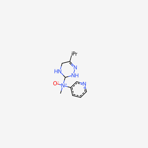 CC(C)C1=NNC([N+](C)([O-])c2cccnc2)NC1